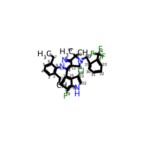 CCc1cccc(CC)c1-n1nc2c(c1-c1ccc(F)c3[nH]cc(Cl)c13)CN(Cc1ccccc1C(F)(F)F)C2(C)C